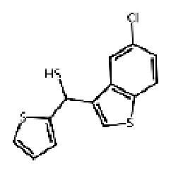 SC(c1cccs1)c1csc2ccc(Cl)cc12